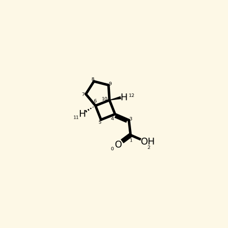 O=C(O)C=C1C[C@H]2CCC[C@H]12